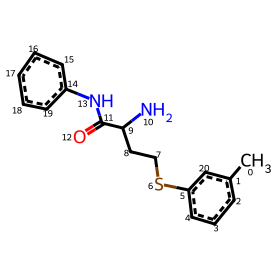 Cc1cccc(SCCC(N)C(=O)Nc2ccccc2)c1